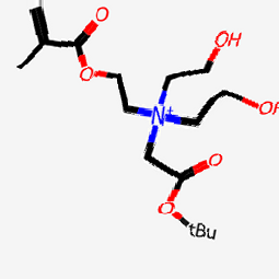 C=C(C)C(=O)OCC[N+](CCO)(CCO)CC(=O)OC(C)(C)C